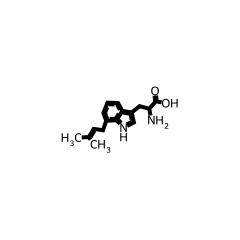 CC(C)=CCc1cccc2c(CC(N)C(=O)O)c[nH]c12